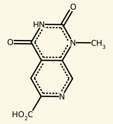 Cn1c(=O)[nH]c(=O)c2cc(C(=O)O)ncc21